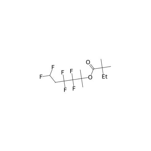 CCC(C)(C)C(=O)OC(C)(C)C(F)(F)C(F)(F)CC(F)F